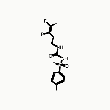 Cc1ccc(S(=O)(=O)NC(=O)NCCC(F)=C(F)F)cc1